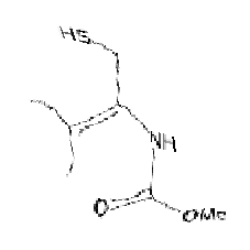 COC(=O)NC(CS)=C(C)C